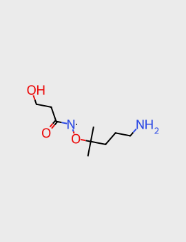 CC(C)(CCCN)O[N]C(=O)CCO